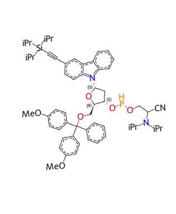 COc1ccc(C(OC[C@H]2O[C@H](n3c4ccccc4c4cc(C#C[Si](C(C)C)(C(C)C)C(C)C)ccc43)C[C@@H]2OPOCC(C#N)N(C(C)C)C(C)C)(c2ccccc2)c2ccc(OC)cc2)cc1